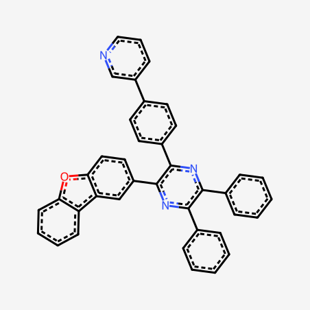 c1ccc(-c2nc(-c3ccc(-c4cccnc4)cc3)c(-c3ccc4oc5ccccc5c4c3)nc2-c2ccccc2)cc1